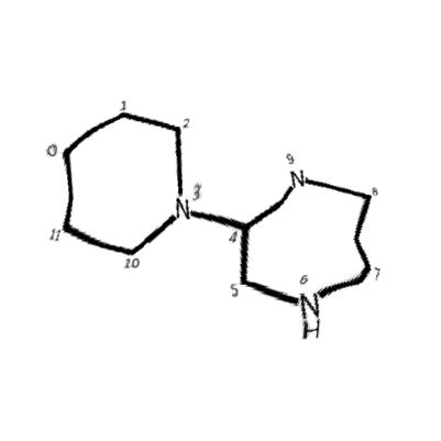 C1CCN(C2CNCC[N]2)CC1